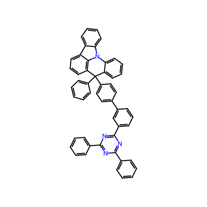 c1ccc(-c2nc(-c3ccccc3)nc(-c3cccc(-c4ccc(C5(c6ccccc6)c6ccccc6-n6c7ccccc7c7cccc5c76)cc4)c3)n2)cc1